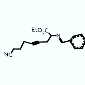 CCOC(=O)C(CC#CCCCC#N)N=Cc1ccccc1